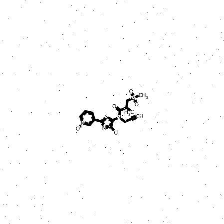 C#CCN(C(=O)C(C)CS(C)(=O)=O)c1sc(-c2ccc[n+]([O-])c2)nc1Cl